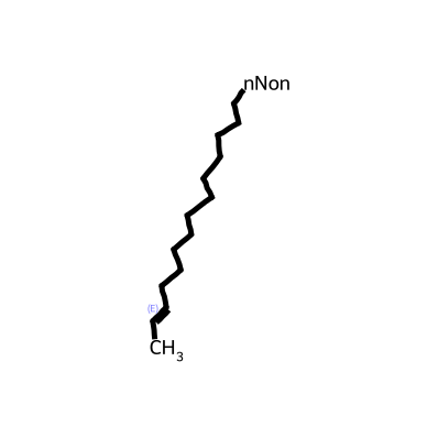 C/C=C/CCCCCCCCCCCCCCCCCCCC